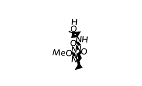 COc1nn(CC(=O)N[C@H]2C[C@@](C)(O)C2)c(=O)c2cc(C3CC3)nn12